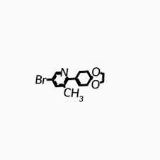 Cc1cc(Br)cnc1C1=CCC2(CC1)OCCO2